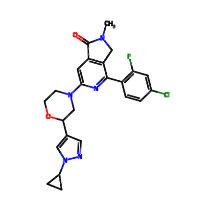 CN1Cc2c(cc(N3CCOC(c4cnn(C5CC5)c4)C3)nc2-c2ccc(Cl)cc2F)C1=O